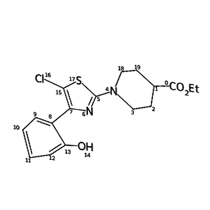 CCOC(=O)C1CCN(c2nc(-c3ccccc3O)c(Cl)s2)CC1